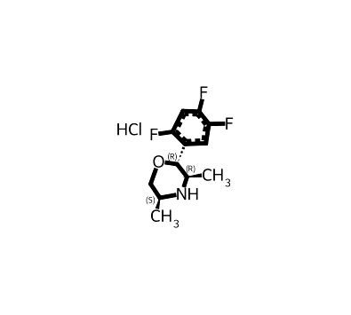 C[C@H]1CO[C@H](c2cc(F)c(F)cc2F)[C@@H](C)N1.Cl